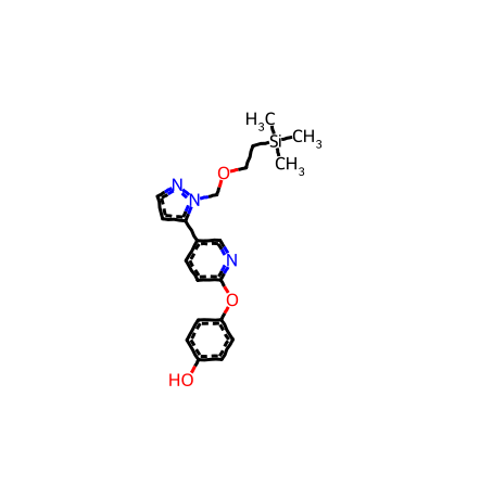 C[Si](C)(C)CCOCn1nccc1-c1ccc(Oc2ccc(O)cc2)nc1